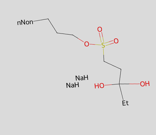 CCCCCCCCCCCCOS(=O)(=O)CCC(O)(O)CC.[NaH].[NaH]